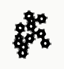 c1ccc(-c2cccc(N(c3ccc(-c4cc5ccccc5c5ccc6nc(-c7ccccc7)oc6c45)cc3)c3ccc4c5ccccc5n(-c5ccccc5)c4c3)c2)cc1